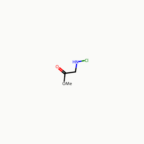 COC(=O)CNCl